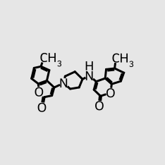 Cc1ccc2oc(=O)cc(NC3CCN(c4cc(=O)oc5ccc(C)cc45)CC3)c2c1